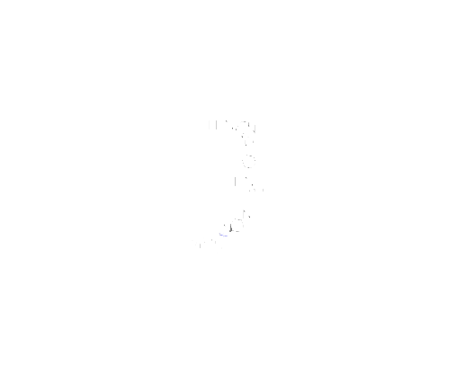 CC(C)(C)OC(=O)/C(C#N)=C/c1ccc2c(c1)SCCN2CCOC(=O)NCc1ccc(COc2nccc(N)n2)cc1